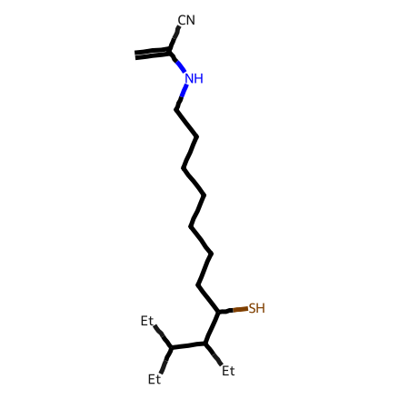 C=C(C#N)NCCCCCCCC(S)C(CC)C(CC)CC